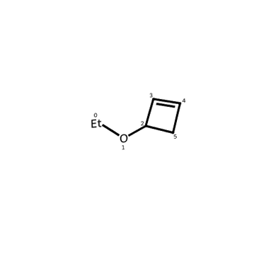 CCOC1C=CC1